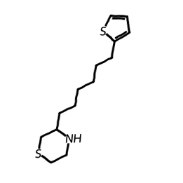 c1csc(CCCCCCC2CSCCN2)c1